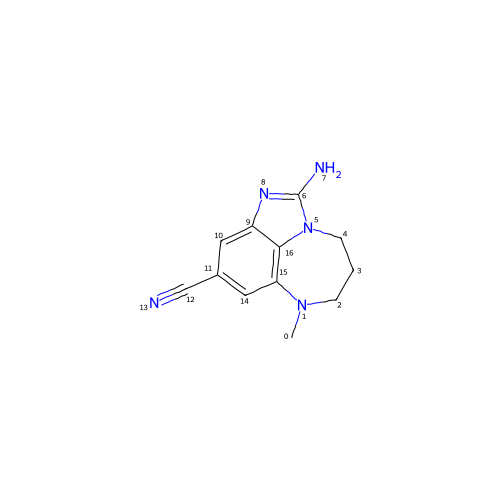 CN1CCCn2c(N)nc3cc(C#N)cc1c32